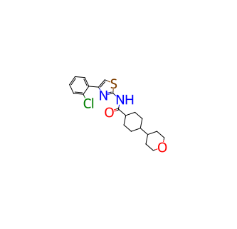 O=C(Nc1nc(-c2ccccc2Cl)cs1)C1CCC(C2CCOCC2)CC1